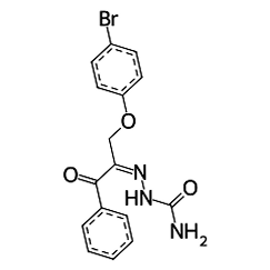 NC(=O)NN=C(COc1ccc(Br)cc1)C(=O)c1ccccc1